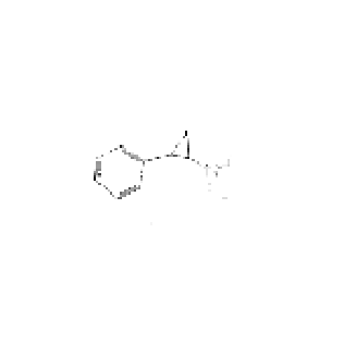 CN(C)C1CC1c1ccccc1.Cl